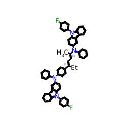 CC/C(=C\C=C(/C)N(c1ccccc1)c1ccc2c(c1)c1ccccc1n2-c1ccc(F)cc1)c1ccc(N(c2ccccc2)c2ccc3c(c2)c2ccccc2n3-c2ccc(F)cc2)cc1